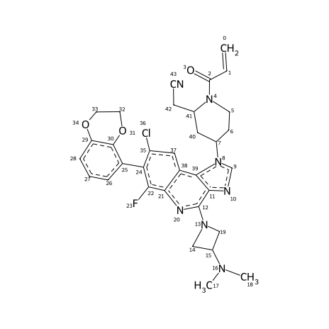 C=CC(=O)N1CCC(n2cnc3c(N4CC(N(C)C)C4)nc4c(F)c(-c5cccc6c5OCCO6)c(Cl)cc4c32)CC1CC#N